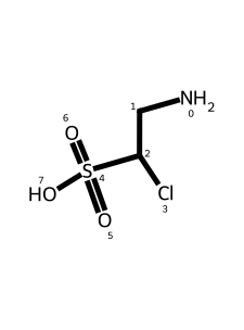 NCC(Cl)S(=O)(=O)O